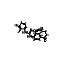 Cc1c(F)cccc1NC(=O)Nc1ccc2c(c1O)S(=O)(=O)CCC2=O